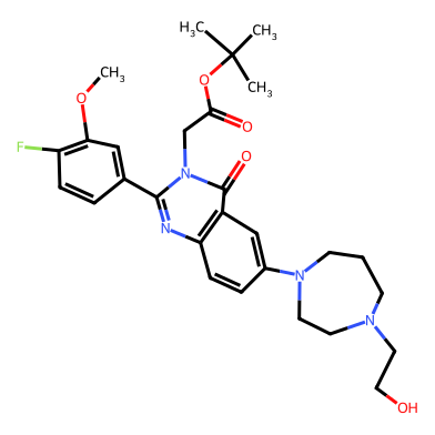 COc1cc(-c2nc3ccc(N4CCCN(CCO)CC4)cc3c(=O)n2CC(=O)OC(C)(C)C)ccc1F